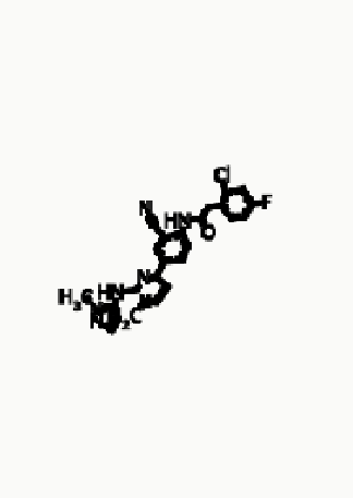 C=N/C=C\C(=N/CNc1ccnn1C)c1ccc(NC(=O)Cc2ccc(F)cc2Cl)c(C#N)c1